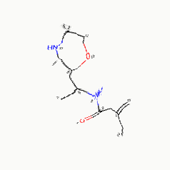 C=C(C)C(=O)NC(C)C1CNCCO1